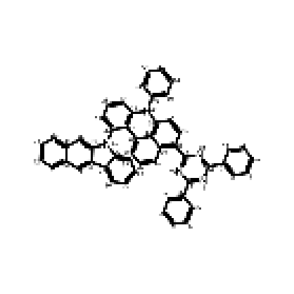 c1ccc(-c2nc(-c3ccccc3)nc(-c3ccc4c5c(cccc35)-c3c(cccc3-n3c5ccccc5c5cc6ccccc6cc53)N4c3ccccc3)n2)cc1